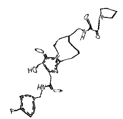 O=C(NCC1CCc2nc(C(=O)NCc3ccc(F)cc3)c(O)c(=O)n2CC1)C(=O)N1CCCC1